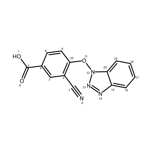 N#Cc1cc(C(=O)O)ccc1On1nnc2ccccc21